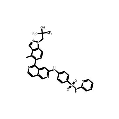 Cc1c(-c2nccc3cnc(Nc4ccc(S(=O)(=O)Nc5ccccn5)cc4)cc23)ccc2c1cnn2CC(O)(C(F)(F)F)C(F)(F)F